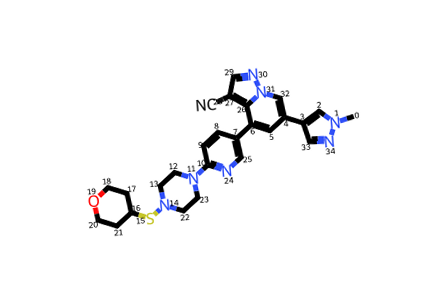 Cn1cc(-c2cc(-c3ccc(N4CCN(SC5CCOCC5)CC4)nc3)c3c(C#N)cnn3c2)cn1